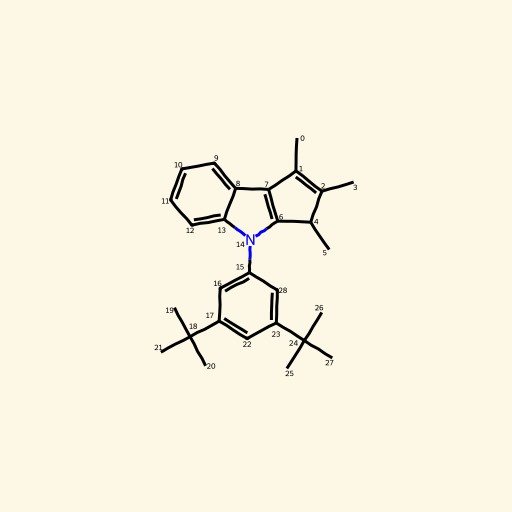 CC1=C(C)C(C)c2c1c1ccccc1n2-c1cc(C(C)(C)C)cc(C(C)(C)C)c1